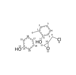 Cc1ccccc1O.ClCC1CO1.Oc1ccccc1